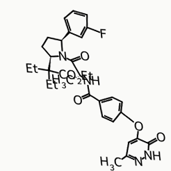 CCOC(=O)C(CC)(CC)[C@H]1CC[C@@H](c2cccc(F)c2)N1C(=O)[C@@H](C)NC(=O)c1ccc(Oc2cc(C)n[nH]c2=O)cc1